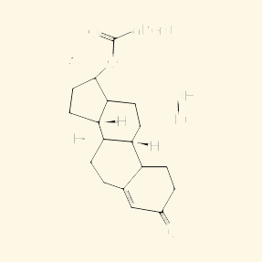 CCCCCC(=O)O[C@]1(C(C)=O)CC[C@H]2[C@@H]3CCC4=CC(=O)CC[C@]4(C)[C@H]3CC[C@@]21C.[CH2]CO